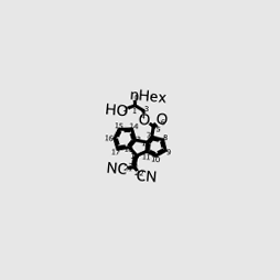 CCCCCCC(O)COC(=O)c1cccc2c1-c1ccccc1C2=C(C#N)C#N